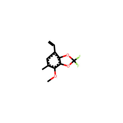 C=Cc1cc(C)c(OC)c2c1OC(F)(F)O2